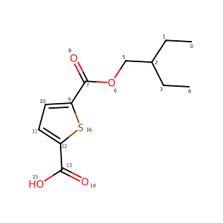 CCC(CC)COC(=O)c1ccc(C(=O)O)s1